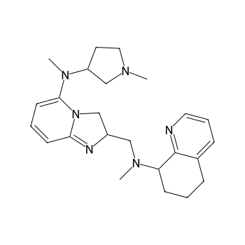 CN1CCC(N(C)C2=CC=CC3=NC(CN(C)C4CCCc5cccnc54)CN23)C1